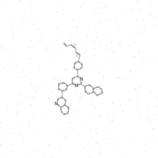 C=C/C=C\C=C\c1ccc(-c2cc(-c3cccc(-c4cnc5ccccc5c4)c3)nc(-c3ccc4ccccc4c3)n2)cc1